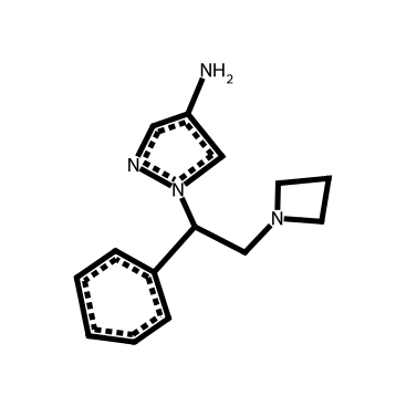 Nc1cnn(C(CN2CCC2)c2ccccc2)c1